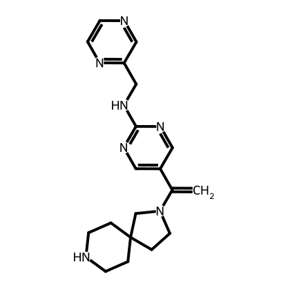 C=C(c1cnc(NCc2cnccn2)nc1)N1CCC2(CCNCC2)C1